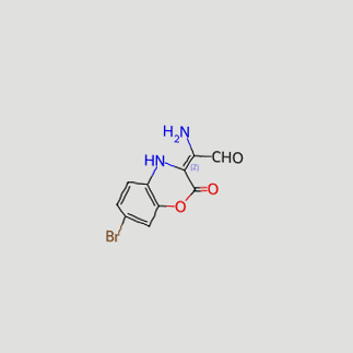 N/C(C=O)=C1\Nc2ccc(Br)cc2OC1=O